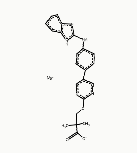 CC(C)(COc1ncc(-c2ccc(Nc3nc4ccccc4[nH]3)cc2)cn1)C(=O)[O-].[Na+]